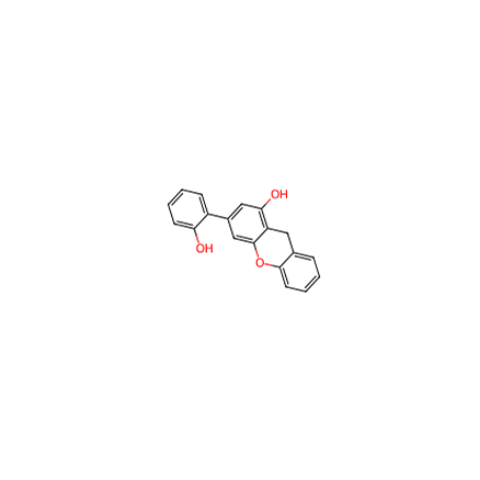 Oc1ccccc1-c1cc(O)c2c(c1)Oc1ccccc1C2